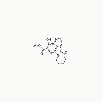 COC(=O)c1nc(N2CCCCS2(=O)=O)c2cccnc2c1O